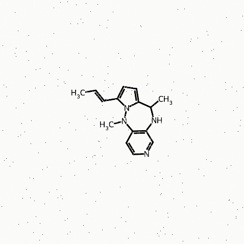 CC=Cc1ccc2n1N(C)c1ccncc1NC2C